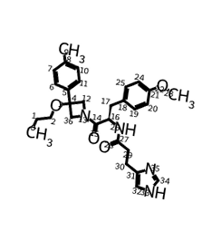 CCCOC1(c2ccc(C)cc2)CN(C(=O)[C@@H](Cc2ccc(OC)cc2)NC(=O)CCc2c[nH]cn2)C1